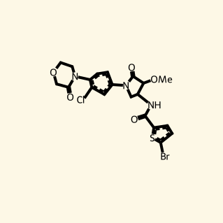 COC1C(=O)N(c2ccc(N3CCOCC3=O)c(Cl)c2)CC1NC(=O)c1ccc(Br)s1